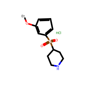 CCOc1cccc(S(=O)(=O)C2CCNCC2)c1.Cl